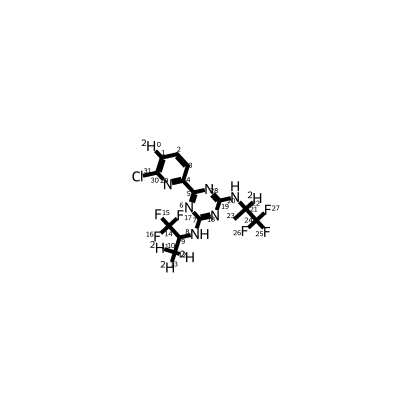 [2H]c1ccc(-c2nc(NC(C([2H])([2H])[2H])C(F)(F)F)nc(NC([2H])(C)C(F)(F)F)n2)nc1Cl